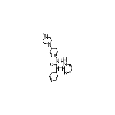 CN1CCN(c2ccc(NC(=O)N(c3ccccc3)N3N=CC=CN3)cc2)CC1